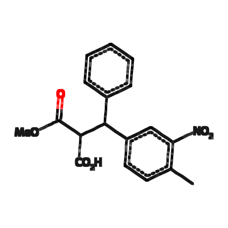 COC(=O)C(C(=O)O)C(c1ccccc1)c1ccc(C)c([N+](=O)[O-])c1